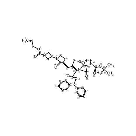 C=CCOC(=O)N1CC(N2CC/C(=C\C3=C(C(=O)OC(c4ccccc4)c4ccccc4)N4C(=O)[C@@H](NC(=O)OC(C)(C)C)[C@H]4SC3)C2=O)C1